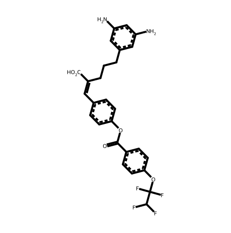 Nc1cc(N)cc(CCC/C(=C\c2ccc(OC(=O)c3ccc(OC(F)(F)C(F)F)cc3)cc2)C(=O)O)c1